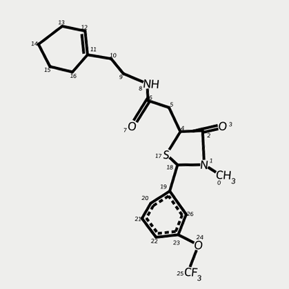 CN1C(=O)C(CC(=O)NCCC2=CCCCC2)SC1c1cccc(OC(F)(F)F)c1